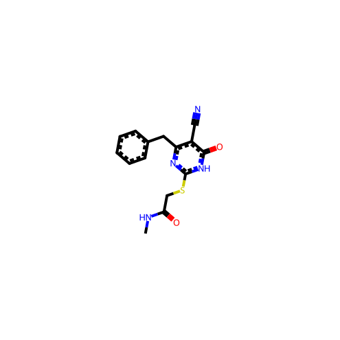 CNC(=O)CSc1nc(Cc2ccccc2)c(C#N)c(=O)[nH]1